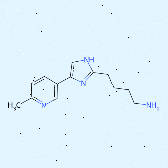 Cc1ccc(-c2c[nH]c(CCCCN)n2)cn1